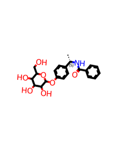 C[C@H](NC(=O)c1ccccc1)c1ccc(OC2OC(CO)C(O)C(O)C2O)cc1